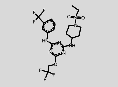 CCS(=O)(=O)N1CCC(Nc2nc(Nc3cccc(C(F)(F)F)c3)nc(OCC(F)(F)F)n2)CC1